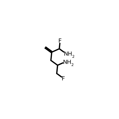 C=C(CC(N)CF)C(N)F